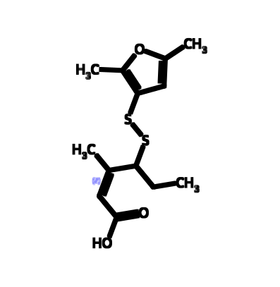 CCC(SSc1cc(C)oc1C)/C(C)=C\C(=O)O